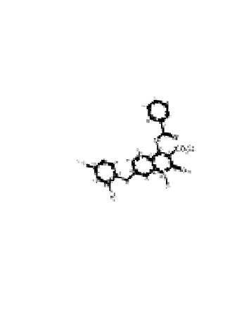 CCOC(=O)c1c(OC(=O)c2ccccc2)c2ncc(Cc3ccc(F)cc3CC)cc2n(C)c1=O